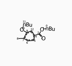 CCCCOC(=O)c1ccc(C)c(OCCCC)c1